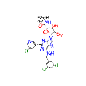 [2H]C([2H])([2H])NC(=O)[C@H]1O[C@@H](n2cnc3c(NCc4cc(Cl)cc(Cl)c4)nc(-c4cncc(Cl)c4)nc32)[C@H](O)[C@@H]1O